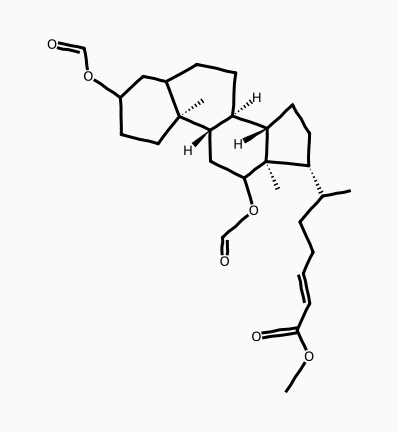 COC(=O)/C=C/CCC(C)[C@H]1CC[C@H]2[C@@H]3CCC4CC(OC=O)CC[C@]4(C)[C@H]3CC(OC=O)[C@]12C